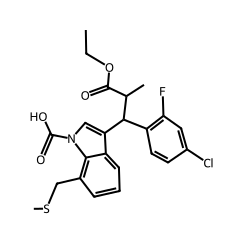 CCOC(=O)C(C)C(c1ccc(Cl)cc1F)c1cn(C(=O)O)c2c(CSC)cccc12